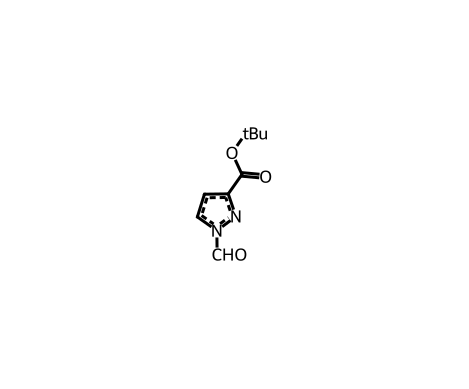 CC(C)(C)OC(=O)c1ccn(C=O)n1